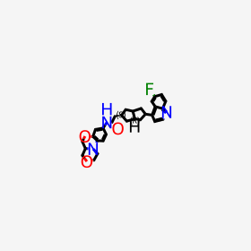 O=C(C[C@H]1CC2CC(c3ccnc4ccc(F)cc34)C[C@H]2C1)Nc1ccc2c(c1)OCC1COCCN21